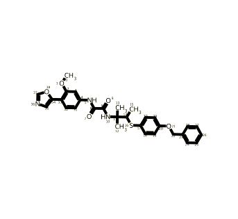 COc1cc(NC(=O)C(=O)NC(C)(C)C(C)Sc2ccc(OCc3ccccc3)cc2)ccc1-c1cnco1